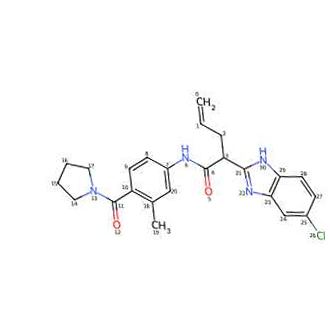 C=CCC(C(=O)Nc1ccc(C(=O)N2CCCC2)c(C)c1)c1nc2cc(Cl)ccc2[nH]1